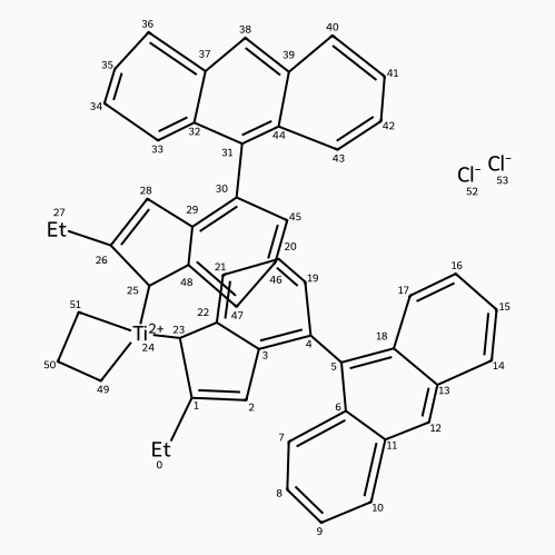 CCC1=Cc2c(-c3c4ccccc4cc4ccccc34)cccc2[CH]1[Ti+2]1([CH]2C(CC)=Cc3c(-c4c5ccccc5cc5ccccc45)cccc32)[CH2]C[CH2]1.[Cl-].[Cl-]